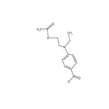 CCN(CCOC(C)=O)c1ccc([N+](=O)[O-])cc1